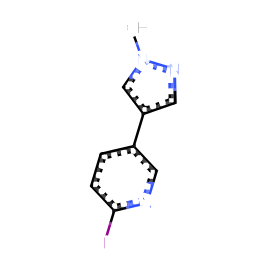 Cn1cc(-c2ccc(I)nc2)cn1